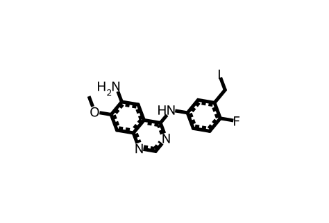 COc1cc2ncnc(Nc3ccc(F)c(CI)c3)c2cc1N